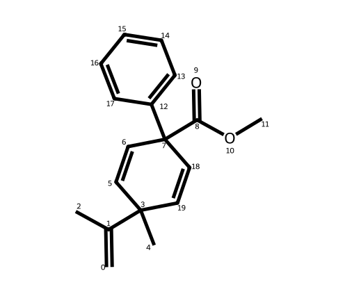 C=C(C)C1(C)C=CC(C(=O)OC)(c2ccccc2)C=C1